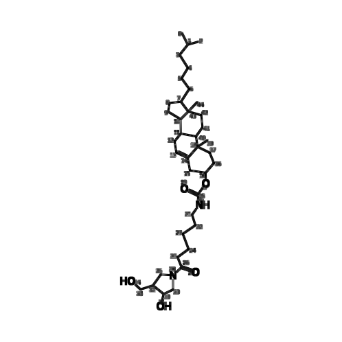 CC(C)CCCCC1CCC2C3CC=C4CC(OC(=O)NCCCCCC(=O)N5CC(O)C(CO)C5)CCC4(C)C3CCC12C